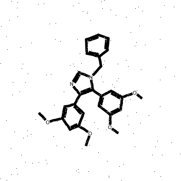 COc1cc(OC)cc(-c2ncn(Cc3ccccc3)c2-c2cc(OC)cc(OC)c2)c1